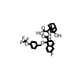 O=C(NC(C(=O)O)C12CC3CC(CC(O)(C3)C1)C2)c1ccc2cc(F)ccc2c1OCc1ccc(OC(F)(F)F)cc1